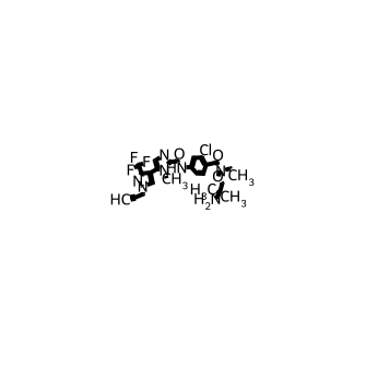 C#CCn1cc(-c2cnc(C(=O)Nc3ccc(C(=O)N(CC)OCC(C)(C)N)c(Cl)c3)n2C)c(C(F)(F)F)n1